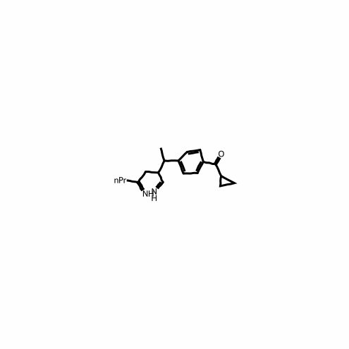 CCCC(=N)CC(C=N)C(C)c1ccc(C(=O)C2CC2)cc1